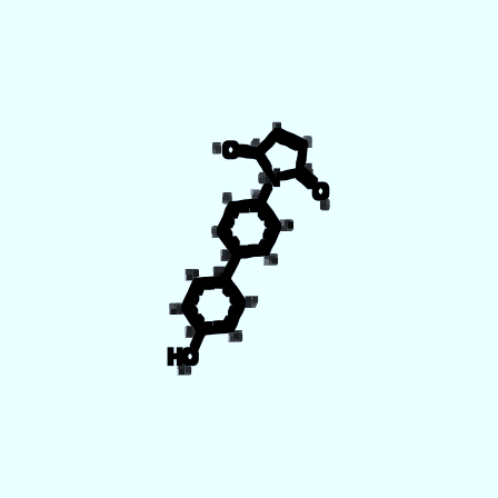 O=C1C=CC(=O)N1c1ccc(-c2ccc(O)cc2)cc1